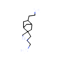 NCCCC1(CN)CC2CC1CC2CCN